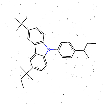 CCC(C)c1ccc(-n2c3ccc(C(C)(C)C)cc3c3cc(C(C)(C)CC)ccc32)cc1